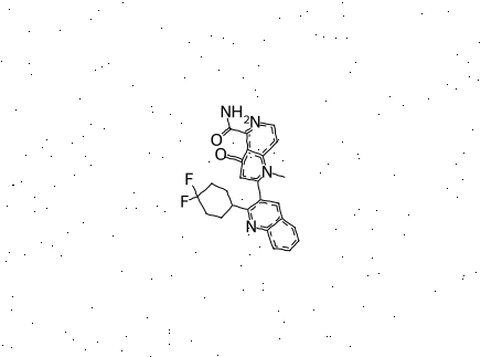 Cn1c(-c2cc3ccccc3nc2C2CCC(F)(F)CC2)cc(=O)c2c(C(N)=O)nccc21